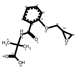 CC(C)(NC(=O)c1ccccc1OCC1CO1)C(=O)O